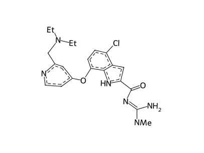 CCN(CC)Cc1cc(Oc2ccc(Cl)c3cc(C(=O)N=C(N)NC)[nH]c23)ccn1